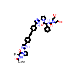 COC(=O)N[C@H](C(=O)N1CCC[C@H]1c1ncc(-c2ccc(C#Cc3ccc(-c4cnc([C@@H]5CCCN5C(=O)[C@H](NC(=O)N(CCO)CCO)c5ccccc5)[nH]4)cc3)cc2)[nH]1)C(C)C